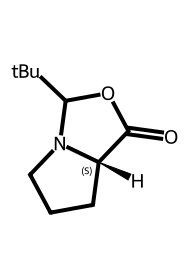 CC(C)(C)C1OC(=O)[C@@H]2CCCN12